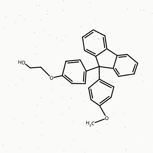 COc1ccc(C2(c3ccc(OCCO)cc3)c3ccccc3-c3ccccc32)cc1